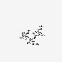 CC(C)OCC([O-])(OC(C)C)OC(C)C.CC(C)OCC([O-])(OC(C)C)OC(C)C.CC(C)OCC([O-])(OC(C)C)OC(C)C.[Al+3]